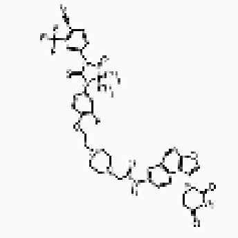 CC1(C)C(=O)N(c2ccc(C#N)c(C(F)(F)F)c2)C(=S)N1c1ccc(OCCN2CCN(CC(=O)Nc3ccc4c(ccc5occ([C@H]6CCC(=O)NC6=O)c54)c3)CC2)c(F)c1